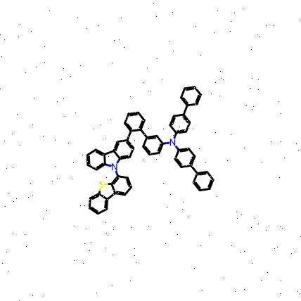 c1ccc(-c2ccc(N(c3ccc(-c4ccccc4)cc3)c3cccc(-c4ccccc4-c4ccc5c(c4)c4ccccc4n5-c4cccc5c4sc4ccccc45)c3)cc2)cc1